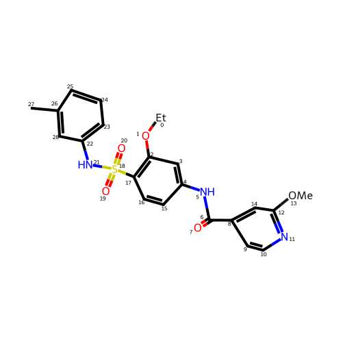 CCOc1cc(NC(=O)c2ccnc(OC)c2)ccc1S(=O)(=O)Nc1cccc(C)c1